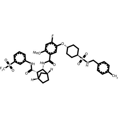 COc1cc(F)c(O[C@H]2CC[C@H](S(=O)(=O)NCc3ccc(C)cc3)CC2)cc1C(=O)N[C@@H]1[C@@H]2CC[C@@H](C2)[C@@H]1C(=O)Nc1cccc(S(=O)(=O)C(F)(F)F)c1